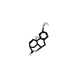 COc1ccc2c(c1)[C@]1(C)C=CC3CC1C(C2)NC3=O